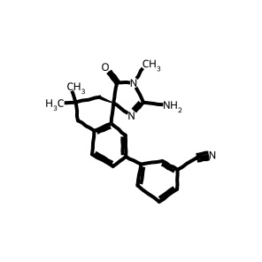 CN1C(=O)[C@]2(CC(C)(C)Cc3ccc(-c4cccc(C#N)c4)cc32)N=C1N